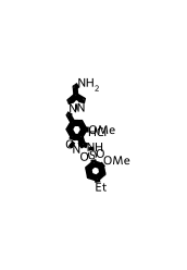 CCc1ccc(S(=O)(=O)Nc2noc3cc(Cn4cc(CN)cn4)cc(OC)c23)c(OC)c1.Cl